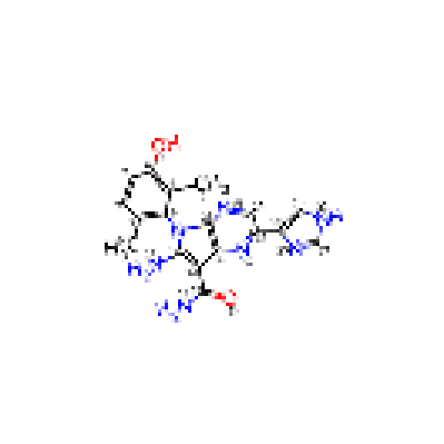 Cc1ccc(O)c(C)c1-n1c(N)c(C(N)=O)c2nc(-c3c[nH]cn3)cnc21